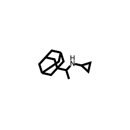 CC(NC1CC1)C12CC3CC(CC(C3)C1)C2